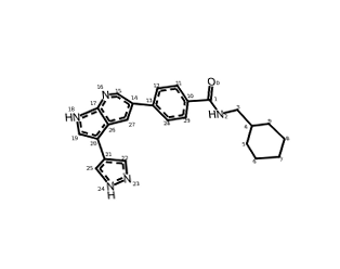 O=C(NCC1CCCCC1)c1ccc(-c2cnc3[nH]cc(-c4cn[nH]c4)c3c2)cc1